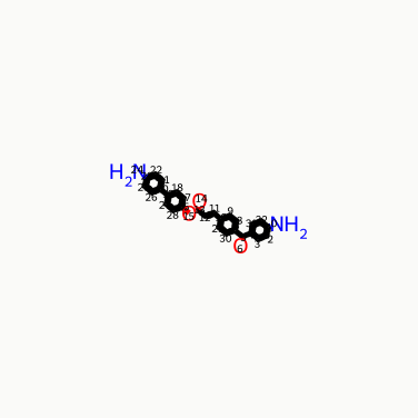 Nc1ccc(C(=O)c2ccc(/C=C/C(=O)Oc3ccc(-c4ccc(N)cc4)cc3)cc2)cc1